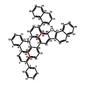 c1ccc(-c2ccc(-c3ccccc3N(c3ccc(-c4cccc5ccccc45)cc3)c3ccccc3-c3ccc4oc5c6ccccc6ccc5c4c3)cc2)cc1